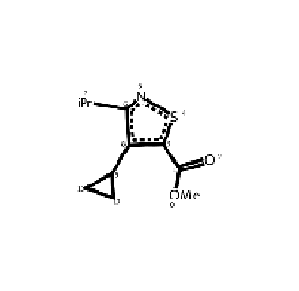 COC(=O)c1snc(C(C)C)c1C1CC1